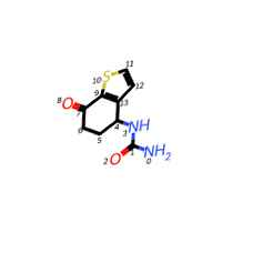 NC(=O)NC1CCC(=O)c2sccc21